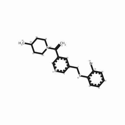 C=C(c1cncc(CSc2ccccc2Br)c1)N1CCC(C)CC1